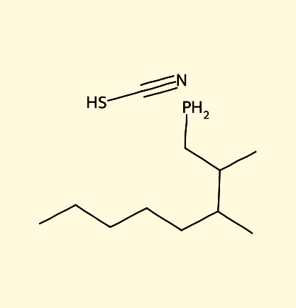 CCCCCC(C)C(C)CP.N#CS